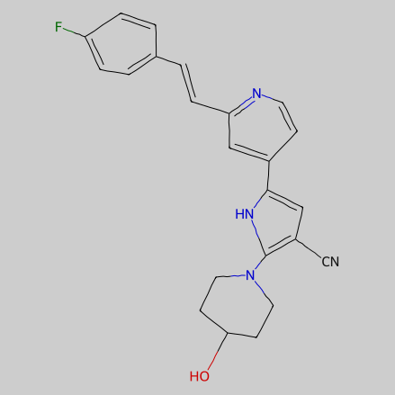 N#Cc1cc(-c2ccnc(/C=C/c3ccc(F)cc3)c2)[nH]c1N1CCC(O)CC1